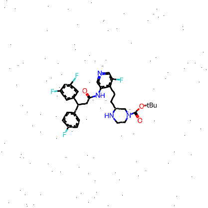 CC(C)(C)OC(=O)N1CCNC(CCc2c(F)cncc2NC(=O)CC(c2ccc(F)cc2)c2cc(F)cc(F)c2)C1